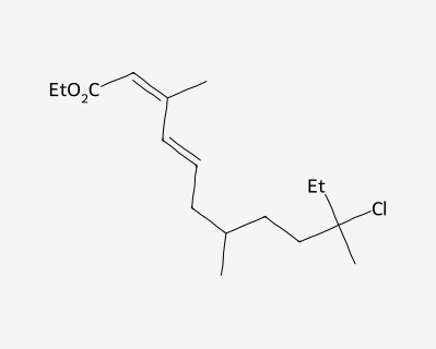 CCOC(=O)C=C(C)C=CCC(C)CCC(C)(Cl)CC